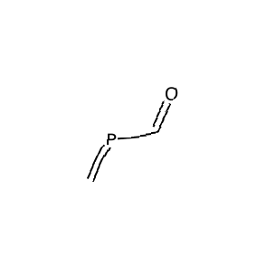 C=PC=O